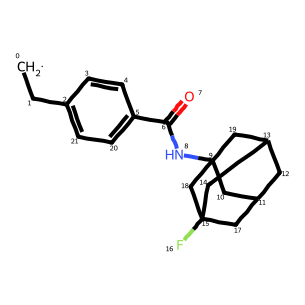 [CH2]Cc1ccc(C(=O)NC23CC4CC(CC(F)(C4)C2)C3)cc1